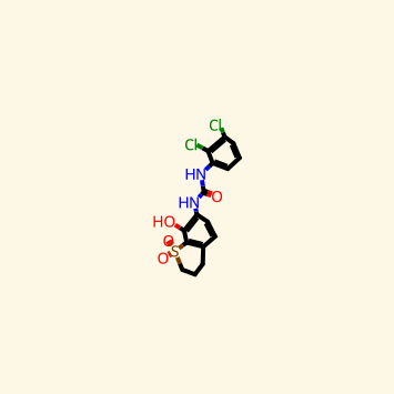 O=C(Nc1ccc2c(c1O)S(=O)(=O)CCC2)Nc1cccc(Cl)c1Cl